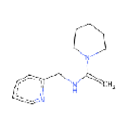 C=C(NCc1ccccn1)N1CCCCC1